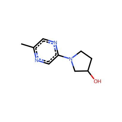 Cc1cnc(N2CCC(O)C2)cn1